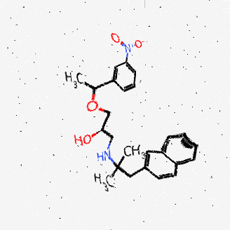 CC(OC[C@H](O)CNC(C)(C)Cc1ccc2ccccc2c1)c1cccc([N+](=O)[O-])c1